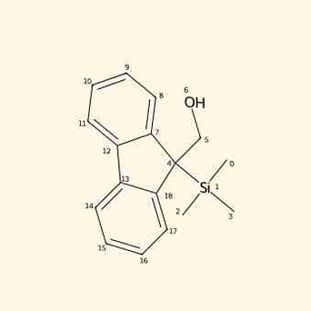 C[Si](C)(C)C1(CO)c2ccccc2-c2ccccc21